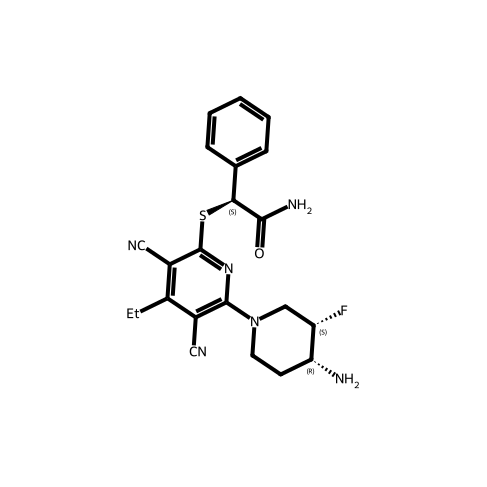 CCc1c(C#N)c(S[C@H](C(N)=O)c2ccccc2)nc(N2CC[C@@H](N)[C@@H](F)C2)c1C#N